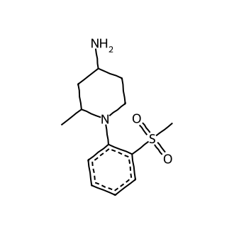 CC1CC(N)CCN1c1ccccc1S(C)(=O)=O